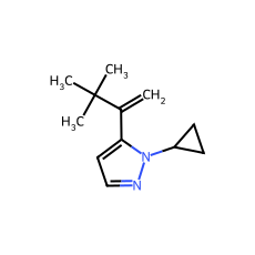 C=C(c1ccnn1C1CC1)C(C)(C)C